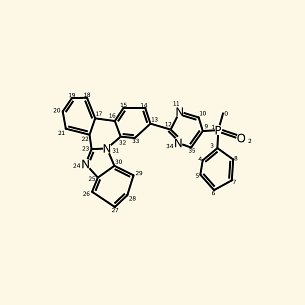 CP(=O)(c1ccccc1)c1cnc(-c2ccc3c4ccccc4c4nc5ccccc5n4c3c2)nc1